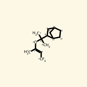 CC(=CC(F)(F)F)OC(C)(C)C1CC2CCC1C2